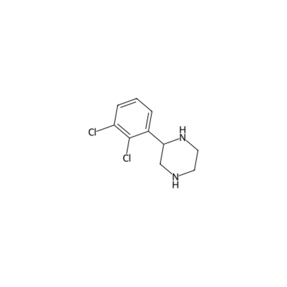 Clc1cccc(C2CNCCN2)c1Cl